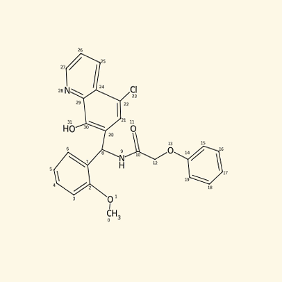 COc1ccccc1C(NC(=O)COc1ccccc1)c1cc(Cl)c2cccnc2c1O